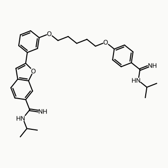 CC(C)NC(=N)c1ccc(OCCCCCOc2cccc(-c3cc4ccc(C(=N)NC(C)C)cc4o3)c2)cc1